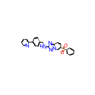 O=S(=O)(c1ccccc1)c1ccc2nc(NCc3ccc(-c4ccccn4)cc3)nn2c1